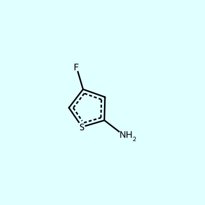 Nc1cc(F)cs1